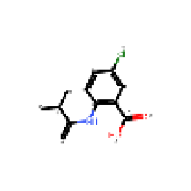 C=C(Nc1ccc(Cl)cc1C(=O)O)C(C)C